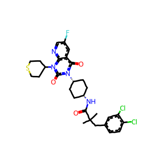 CC(C)(Cc1ccc(Cl)c(Cl)c1)C(=O)N[C@H]1CC[C@@H](n2c(=O)c3cc(F)cnc3n(C3CCSCC3)c2=O)CC1